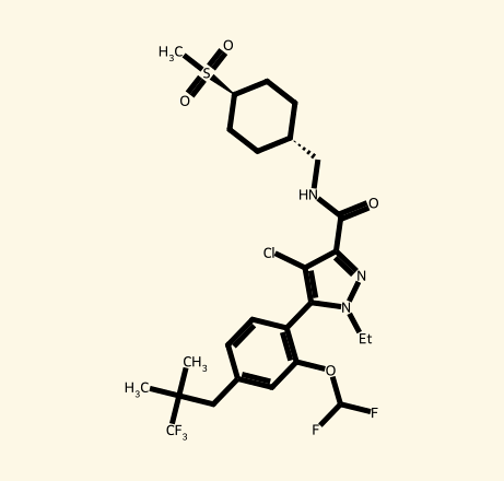 CCn1nc(C(=O)NC[C@H]2CC[C@H](S(C)(=O)=O)CC2)c(Cl)c1-c1ccc(CC(C)(C)C(F)(F)F)cc1OC(F)F